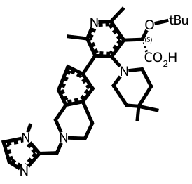 Cc1nc(C)c([C@H](OC(C)(C)C)C(=O)O)c(N2CCC(C)(C)CC2)c1-c1ccc2c(c1)CCN(Cc1nccn1C)C2